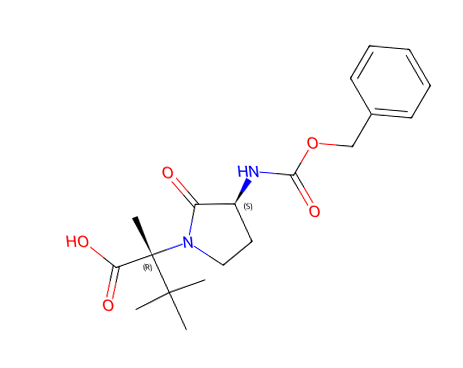 CC(C)(C)[C@](C)(C(=O)O)N1CC[C@H](NC(=O)OCc2ccccc2)C1=O